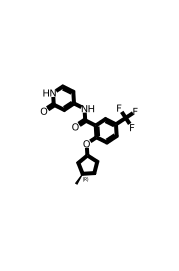 C[C@@H]1CCC(Oc2ccc(C(F)(F)F)cc2C(=O)Nc2cc[nH]c(=O)c2)C1